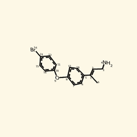 CC(=CCN)c1ccc(Oc2ccc(Br)cc2)cc1